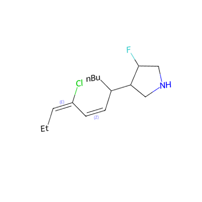 CC/C=C(Cl)\C=C/C(CCCC)C1CNCC1F